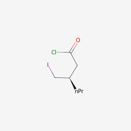 CCC[C@@H](CI)CC(=O)Cl